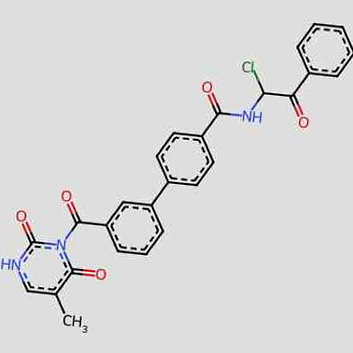 Cc1c[nH]c(=O)n(C(=O)c2cccc(-c3ccc(C(=O)NC(Cl)C(=O)c4ccccc4)cc3)c2)c1=O